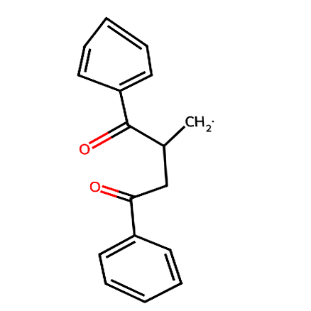 [CH2]C(CC(=O)c1ccccc1)C(=O)c1ccccc1